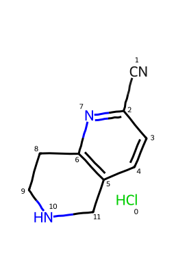 Cl.N#Cc1ccc2c(n1)CCNC2